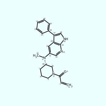 C=CC(=O)N1CCC[C@H](N(C)c2cnc3[nH]cc(-c4ccccc4)c3c2)C1